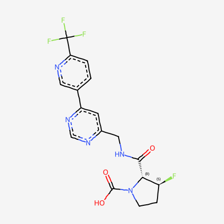 O=C(NCc1cc(-c2ccc(C(F)(F)F)nc2)ncn1)[C@@H]1[C@@H](F)CCN1C(=O)O